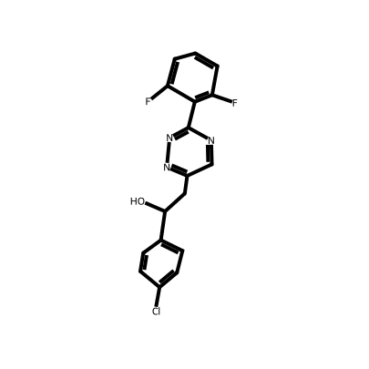 OC(Cc1cnc(-c2c(F)cccc2F)nn1)c1ccc(Cl)cc1